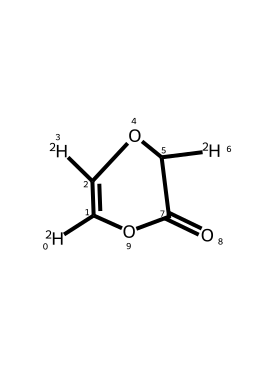 [2H]C1=C([2H])OC([2H])C(=O)O1